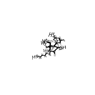 CC(CCS)CC(S)C(C(S)C(C)CCCCCCS)C(CS)(CS)CS